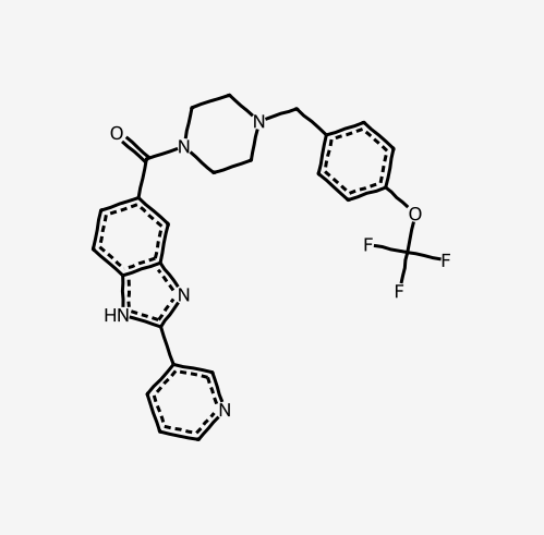 O=C(c1ccc2[nH]c(-c3cccnc3)nc2c1)N1CCN(Cc2ccc(OC(F)(F)F)cc2)CC1